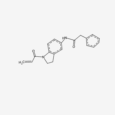 C=CC(=O)N1CCc2cc(NC(=O)Cc3ccccc3)ccc21